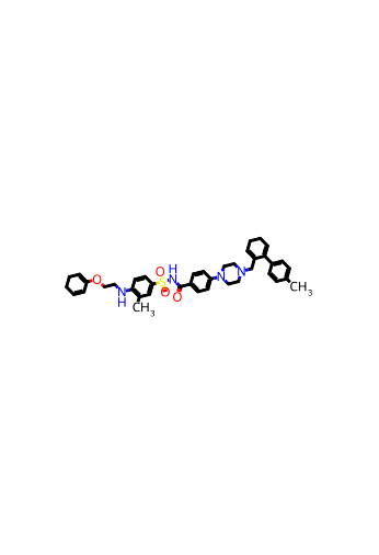 Cc1ccc(C2=CCCC=C2CN2CCN(c3ccc(C(=O)NS(=O)(=O)c4ccc(NCCOC5=CCCC=C5)c(C)c4)cc3)CC2)cc1